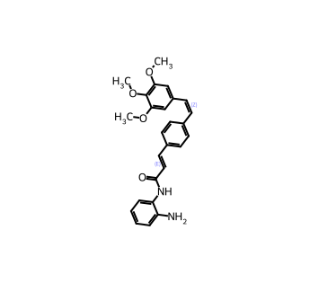 COc1cc(/C=C\c2ccc(/C=C/C(=O)Nc3ccccc3N)cc2)cc(OC)c1OC